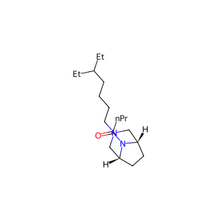 CCCC(=O)N1[C@@H]2CC[C@H]1CN(CCCCC(CC)CC)C2